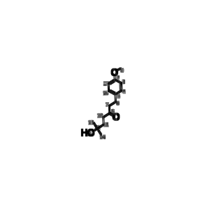 COc1ccc(CCC(=O)CCC(C)(C)O)cc1